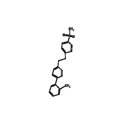 Cc1ccccc1-c1ccc(CCc2ccc(S(C)(=O)=O)cc2)cc1